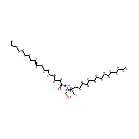 CCCCCCCC/C=C/CCCCCCCC(=O)N[C@@H](CO)[C@H](C)CCCCCCCCCCCCCCC